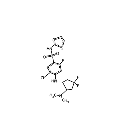 CN(C)C1CC(F)(F)C[C@H]1Nc1cc(F)c(S(=O)(=O)Nc2nccs2)cc1Cl